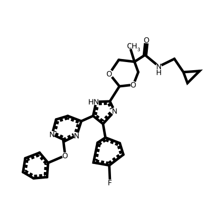 CC1(C(=O)NCC2CC2)COC(c2nc(-c3ccc(F)cc3)c(-c3ccnc(Oc4ccccc4)n3)[nH]2)OC1